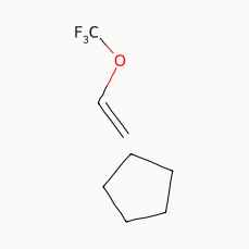 C1CCCC1.C=COC(F)(F)F